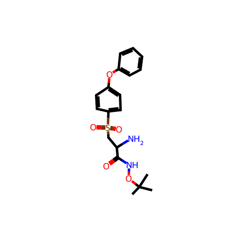 CC(C)(C)ONC(=O)C(N)CS(=O)(=O)c1ccc(Oc2ccccc2)cc1